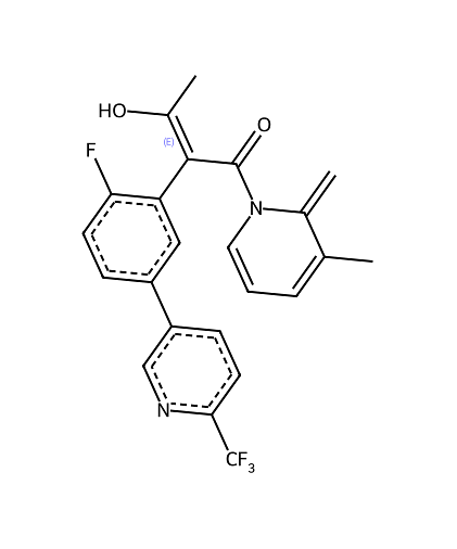 C=C1C(C)=CC=CN1C(=O)/C(=C(\C)O)c1cc(-c2ccc(C(F)(F)F)nc2)ccc1F